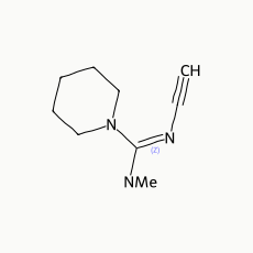 C#C/N=C(/NC)N1CCCCC1